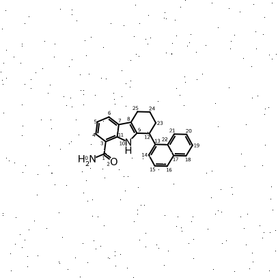 NC(=O)c1cccc2c3c([nH]c12)C(c1cccc2ccccc12)CCC3